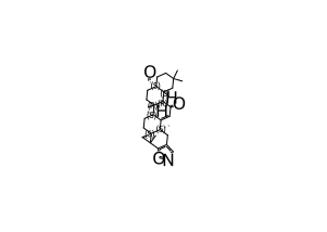 CC1(C)CC[C@]2(C=O)CC[C@]3(C)[C@H](C(=O)C=C4[C@@]5(C)Cc6cnoc6C6(C)C[C@]65CC[C@]43C)[C@@H]2C1